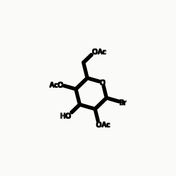 CC(=O)OCC1OC(Br)C(OC(C)=O)C(O)C1OC(C)=O